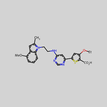 CCOc1cc(-c2cc(NCCn3c(C)cc4c(OC)cccc43)ncn2)sc1C(=O)O